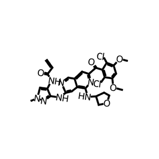 C=CC(=O)Nc1cn(C)nc1Nc1cc2c(NC3CCOC3)nc(C(=O)c3c(Cl)c(OC)cc(OC)c3Cl)cc2cn1